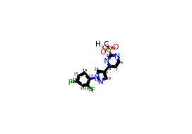 CS(=O)(=O)c1nccc(-c2cnn(-c3ccc(F)cc3F)c2)n1